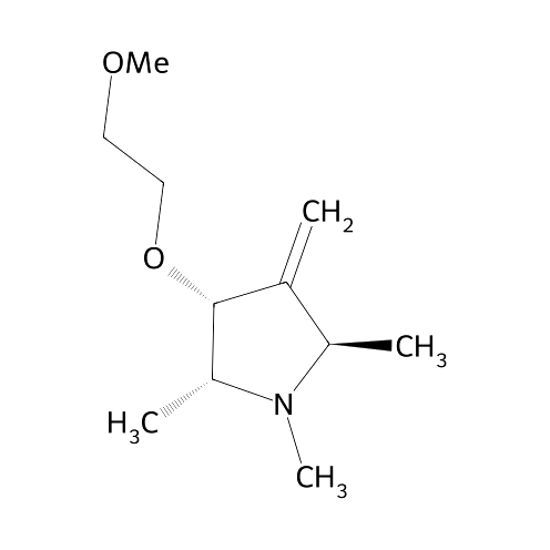 C=C1[C@@H](OCCOC)[C@@H](C)N(C)[C@@H]1C